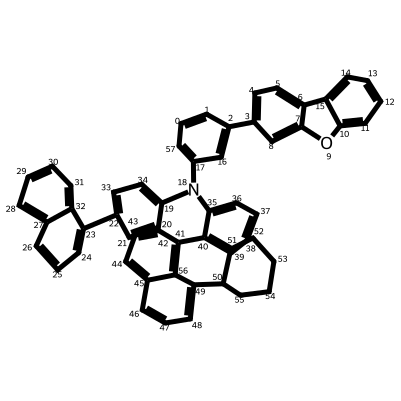 c1cc(-c2ccc3c(c2)oc2ccccc23)cc(N(c2ccc(-c3cccc4ccccc34)cc2)c2ccccc2-c2cccc3cccc(C4CCCCC4)c23)c1